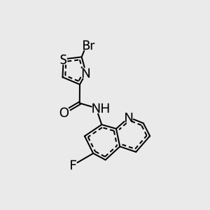 O=C(Nc1cc(F)cc2cccnc12)c1csc(Br)n1